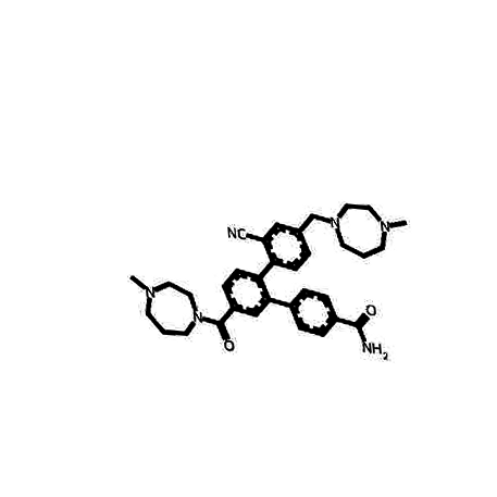 CN1CCCN(Cc2ccc(-c3ccc(C(=O)N4CCCN(C)CC4)cc3-c3ccc(C(N)=O)cc3)c(C#N)c2)CC1